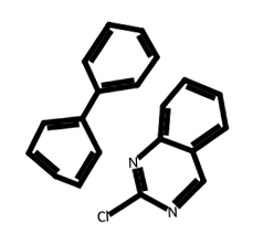 Clc1ncc2ccccc2n1.c1ccc(-c2ccccc2)cc1